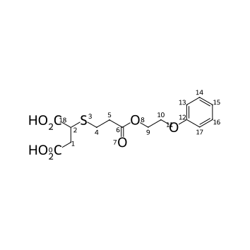 O=C(O)CC(SCCC(=O)OCCOc1ccccc1)C(=O)O